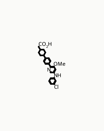 COc1cc(Nc2cccc(Cl)c2)cnc1-c1ccc(C2CCC(CC(=O)O)CC2)cc1